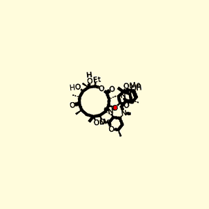 CC[C@H]1OC(=O)[C@H](C)[C@@H](O[C@H]2C[C@@](C)(OC)[C@@H](O)[C@H](C)O2)[C@H](C)[C@@H](O[C@@H]2O[C@H](C)C[C@@H](N(C)Cc3ccccn3)[C@@H]2N(C)C)[C@@](C)(OC)C[C@@H](C)C(=O)[C@H](C)[C@@H](O)[C@]1(C)O